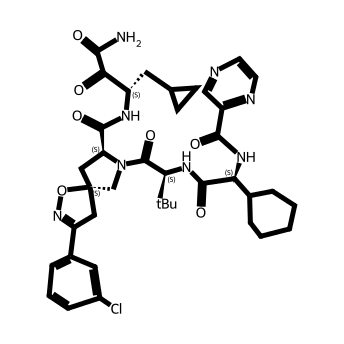 CC(C)(C)[C@H](NC(=O)[C@@H](NC(=O)c1cnccn1)C1CCCCC1)C(=O)N1C[C@@]2(CC(c3cccc(Cl)c3)=NO2)C[C@H]1C(=O)N[C@@H](CC1CC1)C(=O)C(N)=O